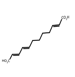 O=C(O)/C=C/C=C/CCCC/C=C/C(=O)O